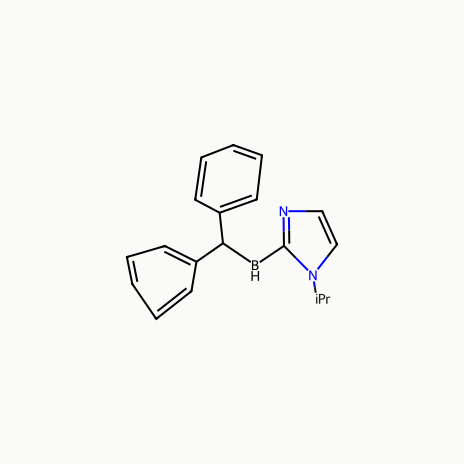 CC(C)n1ccnc1BC(c1ccccc1)c1ccccc1